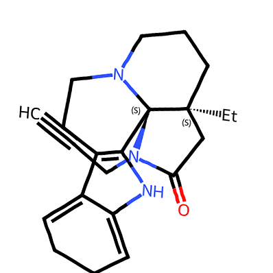 C#CCN1C(=O)C[C@]2(CC)CCCN3CCc4c([nH]c5c4=CCCC=5)[C@@]312